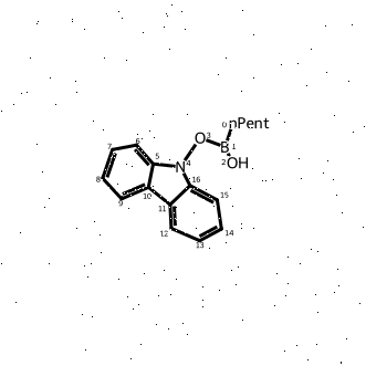 CCCCCB(O)On1c2ccccc2c2ccccc21